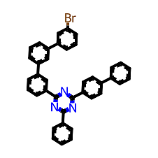 Brc1cccc(-c2cccc(-c3cccc(-c4nc(-c5ccccc5)nc(-c5ccc(-c6ccccc6)cc5)n4)c3)c2)c1